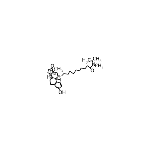 CC(C)N(C)C(=O)CCCCCCCCCC[C@H]1C[C@]2(C)C(=O)CC[C@H]2[C@@H]2CCc3cc(O)ccc3[C@@H]12